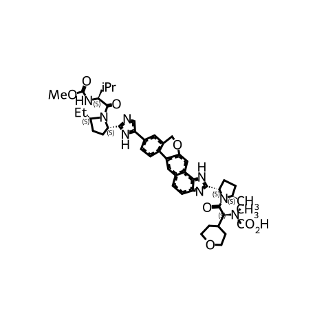 CC[C@H]1CC[C@@H](c2ncc(-c3ccc4c(c3)COc3cc5c(ccc6nc([C@@H]7CC[C@H](C)N7C(=O)[C@H](C7CCOCC7)N(C)C(=O)O)[nH]c65)cc3-4)[nH]2)N1C(=O)[C@@H](NC(=O)OC)C(C)C